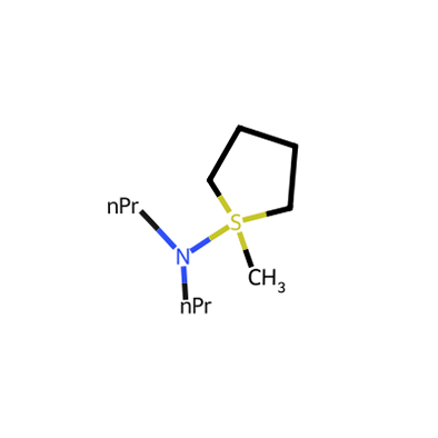 CCCN(CCC)S1(C)CCCC1